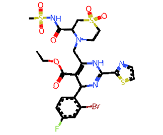 CCOC(=O)C1=C(CN2CCS(=O)(=O)CC2C(=O)NS(C)(=O)=O)NC(c2nccs2)=NC1c1ccc(F)cc1Br